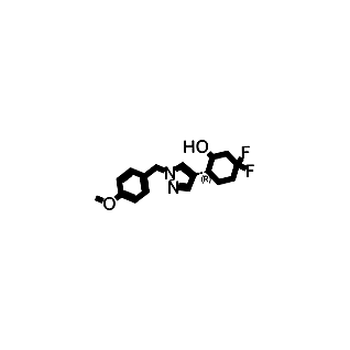 COc1ccc(Cn2cc([C@H]3CCC(F)(F)CC3O)cn2)cc1